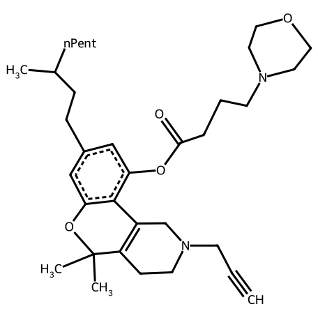 C#CCN1CCC2=C(C1)c1c(OC(=O)CCCN3CCOCC3)cc(CCC(C)CCCCC)cc1OC2(C)C